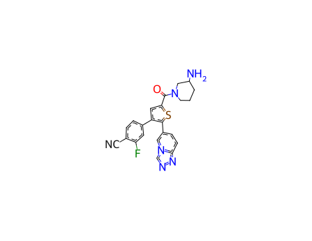 N#Cc1ccc(-c2cc(C(=O)N3CCCC(N)C3)sc2-c2ccc3nncn3c2)cc1F